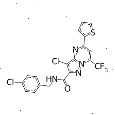 O=C(NCc1ccc(Cl)cc1)c1nn2c(C(F)(F)F)cc(-c3cccs3)nc2c1Cl